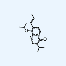 CC=Cc1ccn2c(=O)c(C(C)C)cnc2c1OC(C)C